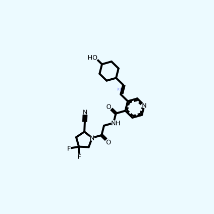 N#CC1CC(F)(F)CN1C(=O)CNC(=O)c1ccncc1/C=C/C1CCC(O)CC1